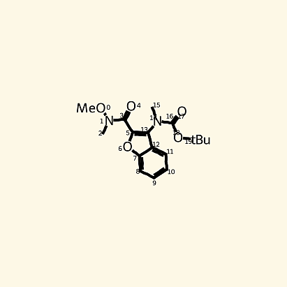 CON(C)C(=O)c1oc2ccccc2c1N(C)C(=O)OC(C)(C)C